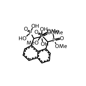 COP(=O)(OC)C(c1cccc2cccc(C(P(=O)(O)O)P(=O)(O)O)c12)P(=O)(OC)OC